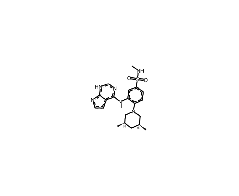 CNS(=O)(=O)c1ccc(N2C[C@H](C)C[C@H](C)C2)c(Nc2nc[nH]c3nccc2-3)c1